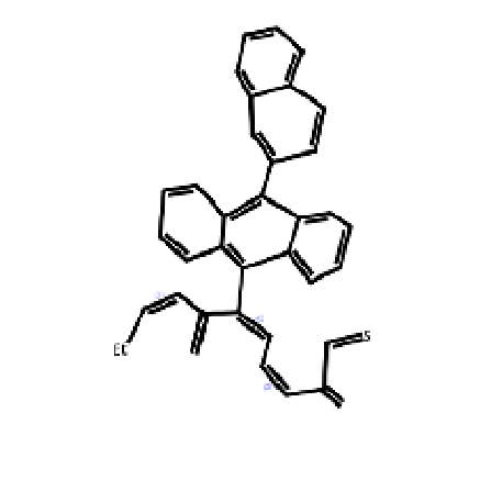 C=C(C=S)/C=C\C=C(/C(=C)/C=C\CC)c1c2ccccc2c(-c2ccc3ccccc3c2)c2ccccc12